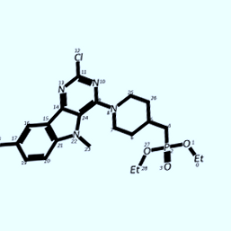 CCOP(=O)(CC1CCN(c2nc(Cl)nc3c4cc(Br)ccc4n(C)c23)CC1)OCC